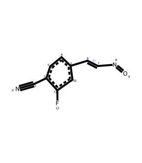 N#Cc1ccc(/C=C/N=O)cc1F